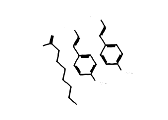 CCCCCCCC(=O)O.COc1ccc(C=CC(=O)O)cc1.COc1ccc(C=CC(=O)O)cc1